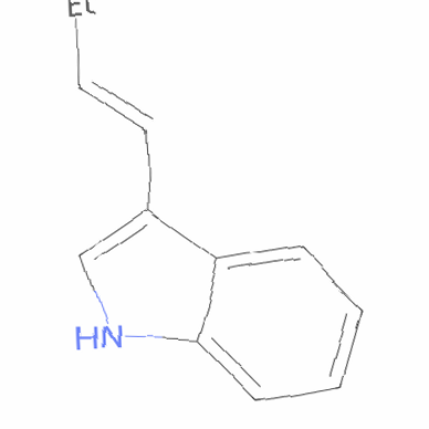 CCC=Cc1c[nH]c2ccccc12